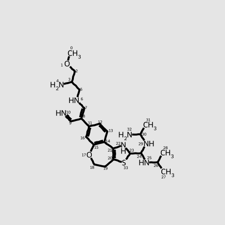 COCC(N)CN/C=C(\C=N)c1ccc2c(c1)OCCC1=C2NC(C(NC(C)C)NC(C)N)S1